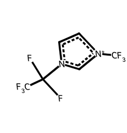 FC(F)(F)[n+]1ccn(C(F)(F)C(F)(F)F)c1